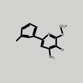 Cc1cccc(-c2cc(N)c(Cl)c(OC(=O)O)n2)c1